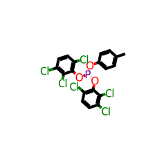 Cc1ccc(OP(Oc2c(Cl)ccc(Cl)c2Cl)Oc2c(Cl)ccc(Cl)c2Cl)cc1